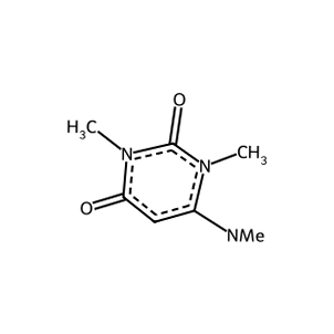 CNc1cc(=O)n(C)c(=O)n1C